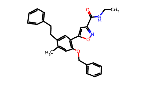 CCNC(=O)c1cc(-c2cc(CCc3ccccc3)c(C)cc2OCc2ccccc2)on1